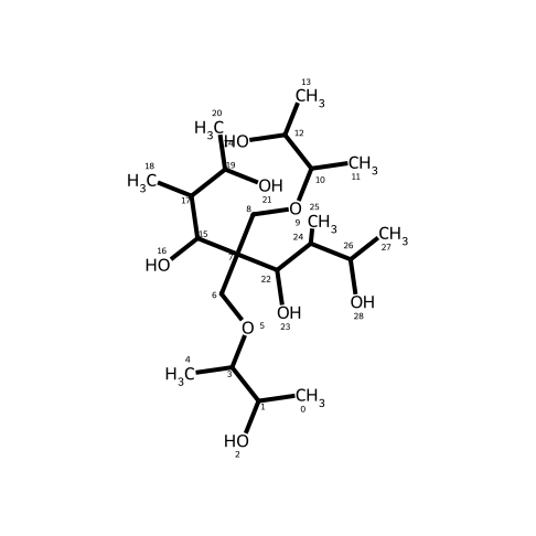 CC(O)C(C)OCC(COC(C)C(C)O)(C(O)C(C)C(C)O)C(O)C(C)C(C)O